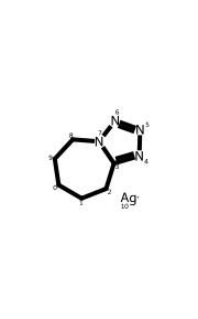 C1CCc2nnnn2CC1.[Ag]